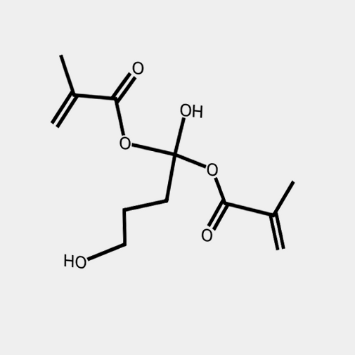 C=C(C)C(=O)OC(O)(CCCO)OC(=O)C(=C)C